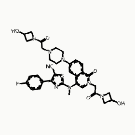 CN(c1nc(-c2ccc(F)cc2)c(C#N)s1)c1cn(CC(=O)N2CC(O)C2)c(=O)c2ccc(N3CCN(CC(=O)N4CC(O)C4)CC3)cc12